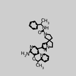 C[C@@H](NC(=O)N1CCC2(CCn3nc(-c4cnc(N)c(O[C@H](C)c5ccccn5)c4)cc32)C1)c1ccccc1